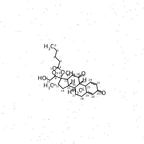 CCCCC(=O)O[C@]1(C(=O)CO)[C@@H](C)C[C@H]2[C@@H]3CCC4=CC(=O)C=C[C@]4(C)[C@H]3C(=O)C[C@@]21C